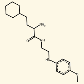 COc1ccc(NCCNC(=O)C(N)CCC2CCCCC2)cc1